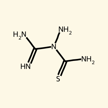 N=C(N)N(N)C(N)=S